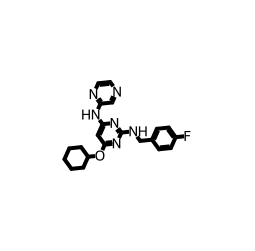 Fc1ccc(CNc2nc(Nc3cnccn3)cc(OC3CCCCC3)n2)cc1